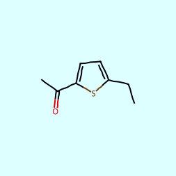 CCc1ccc(C(C)=O)s1